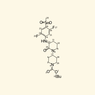 CC(C)(C)OC(=O)N1CCC(N2CCCC(Nc3cc(F)c(S(C)(=O)=O)cc3F)C2=O)CC1